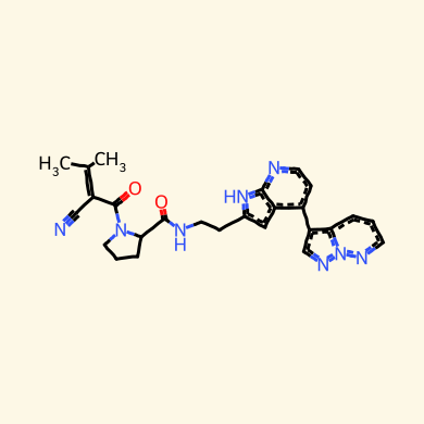 CC(C)=C(C#N)C(=O)N1CCCC1C(=O)NCCc1cc2c(-c3cnn4ncccc34)ccnc2[nH]1